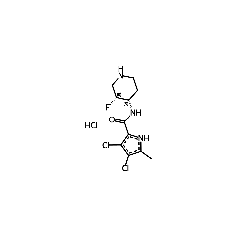 Cc1[nH]c(C(=O)N[C@H]2CCNC[C@H]2F)c(Cl)c1Cl.Cl